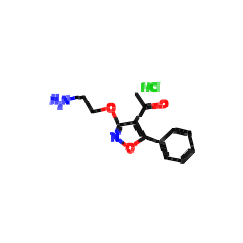 CC(=O)c1c(OCCN)noc1-c1ccccc1.Cl